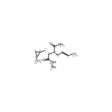 C/C=C/C[C@H](C(N)=O)[C@@H](CC1CC1C)C(=O)NC(C)(C)C